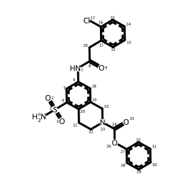 NS(=O)(=O)c1cc(NC(=O)Cc2ccccc2Cl)cc2c1CCN(C(=O)Oc1ccccc1)C2